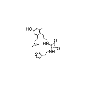 CNCCc1cc(O)cc(C)c1CCCNc1c(NCCc2ccsc2)c(=O)c1=O